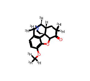 [2H]C([2H])([2H])Oc1ccc2c3c1OC1C(=O)C([2H])([2H])C[C@@H]4[C@@]31CCN(C)[C@]4([2H])C2([2H])[2H]